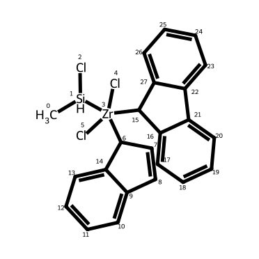 C[SiH](Cl)[Zr]([Cl])([Cl])([CH]1C=Cc2ccccc21)[CH]1c2ccccc2-c2ccccc21